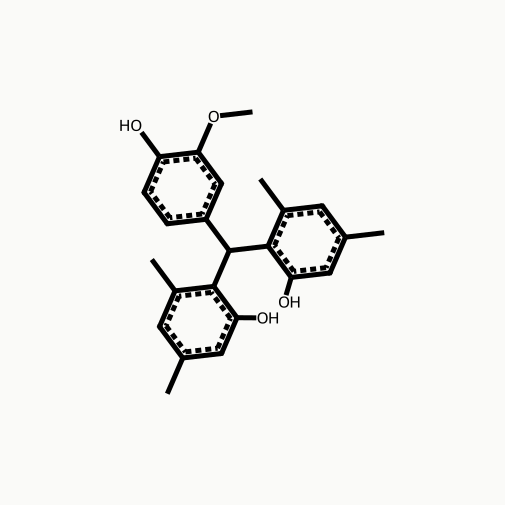 COc1cc(C(c2c(C)cc(C)cc2O)c2c(C)cc(C)cc2O)ccc1O